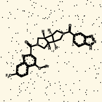 CC(C)Oc1cc(C(=O)N2C[C@@H]3[C@H]4CN(C(=O)c5ccc6[nH]nnc6c5)C[C@H]4[C@@H]3C2)nc2cc(C(F)(F)F)ccc12